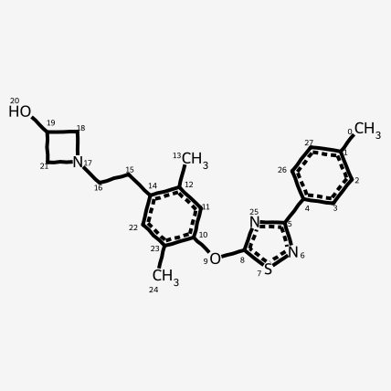 Cc1ccc(-c2nsc(Oc3cc(C)c(CCN4CC(O)C4)cc3C)n2)cc1